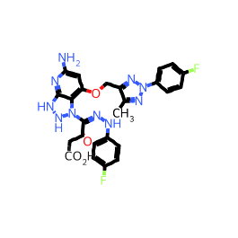 Cc1nn(-c2ccc(F)cc2)nc1COc1cc(N)nc2c1N(C(=NNc1ccc(F)cc1)C(=O)CC(=O)O)NN2